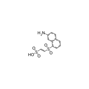 Nc1ccc2cccc(S(=O)(=O)C=CS(=O)(=O)O)c2c1